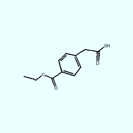 CCOC(=O)c1ccc(CC(=O)O)cc1